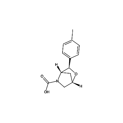 O=C(O)N1C[C@@H]2C[C@H]1[C@@H](c1ccc(I)cc1)O2